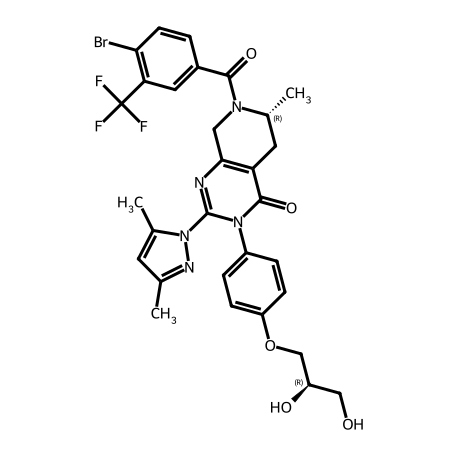 Cc1cc(C)n(-c2nc3c(c(=O)n2-c2ccc(OC[C@H](O)CO)cc2)C[C@@H](C)N(C(=O)c2ccc(Br)c(C(F)(F)F)c2)C3)n1